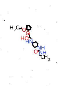 C=CCOc1ccccc1OCC(O)CNC1CCC(NC(=O)NCC)CC1